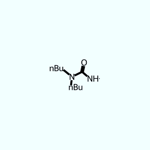 CCCCN(CCCC)C([NH])=O